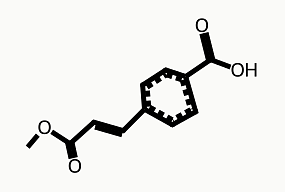 COC(=O)C=Cc1ccc(C(=O)O)cc1